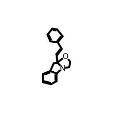 C(=C\C12Cc3ccccc3N1CCO2)/c1ccccc1